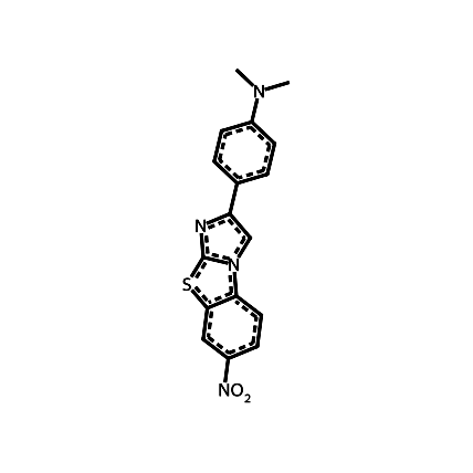 CN(C)c1ccc(-c2cn3c(n2)sc2cc([N+](=O)[O-])ccc23)cc1